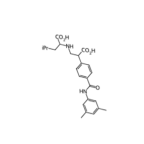 Cc1cc(C)cc(NC(=O)c2ccc(C(CNC(CC(C)C)C(=O)O)C(=O)O)cc2)c1